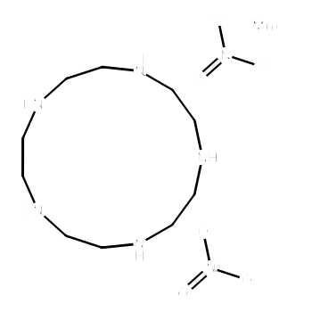 C1CNCCNCCNCCNCCN1.O=[N+]([O-])[O-].O=[N+]([O-])[O-].[Mn+2]